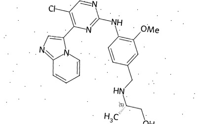 COc1cc(CN[C@@H](C)CO)ccc1Nc1ncc(Cl)c(-c2cnc3ccccn23)n1